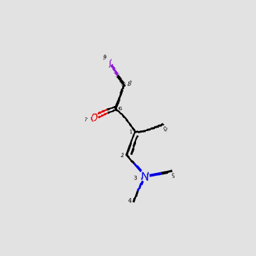 C/C(=C\N(C)C)C(=O)CI